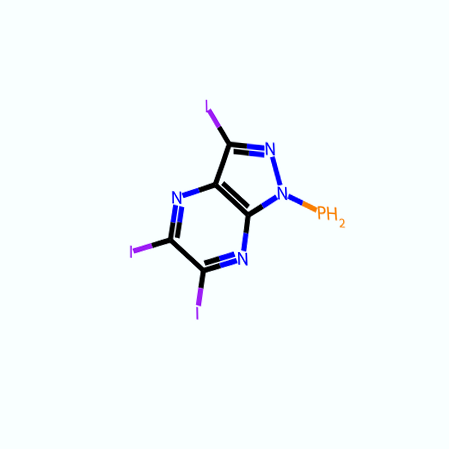 Pn1nc(I)c2nc(I)c(I)nc21